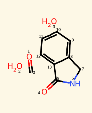 C=O.O.O.O=C1NCc2ccccc21